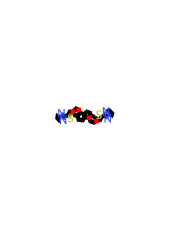 c1cnc(-c2cc3ccc4c5ccc6c(ccc7cc(-c8ncccn8)sc76)c5ccc4c3s2)nc1